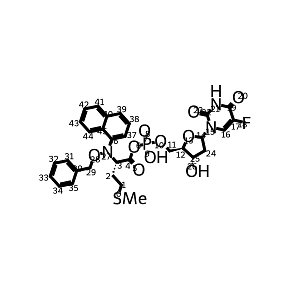 CSCC[C@@H](C(=O)OP(=O)(O)OC[C@H]1O[C@@H](n2cc(F)c(=O)[nH]c2=O)C[C@@H]1O)N(OCc1ccccc1)c1cccc2ccccc12